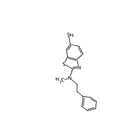 CN(CCc1ccccc1)c1nc2ccc(S)cc2s1